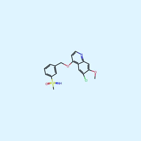 COc1cc2nccc(OCc3cccc(S(C)(=N)=O)c3)c2cc1Cl